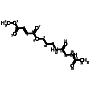 COC(=O)/C=C/C(=O)OCCCNC(=O)CNC(C)=O